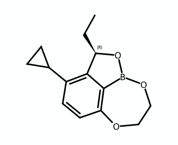 CC[C@H]1OB2OCCOc3ccc(C4CC4)c1c32